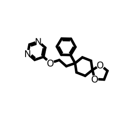 c1ccc(C2(CCOc3cncnc3)CCC3(CC2)OCCO3)cc1